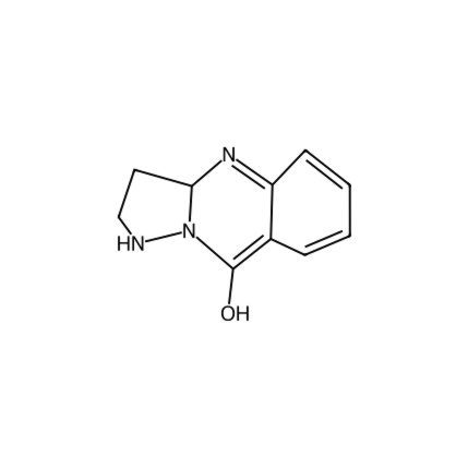 OC1=c2ccccc2=NC2CCNN12